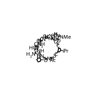 CCCC[C@H](NC)C(=O)N[C@H]1CSCc2cc(cc(C(C)C)c2)CSC[C@@H](C(C)=O)NC(=O)[C@H](Cc2ccccc2)NC(=O)[C@@H](CC(N)=O)NC(=O)[C@H]([C@@H](C)O)NC(=O)[C@@H]2CCCN2C(=O)[C@@H]2CCCN2C1=O